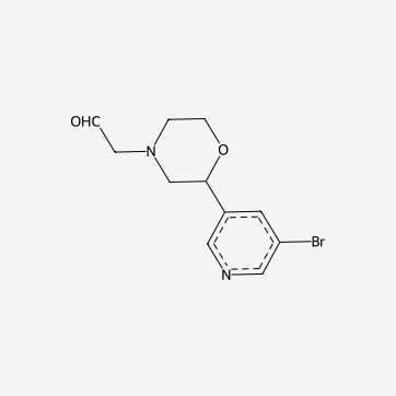 O=CCN1CCOC(c2cncc(Br)c2)C1